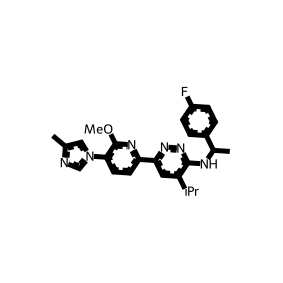 COc1nc(-c2cc(C(C)C)c(NC(C)c3ccc(F)cc3)nn2)ccc1-n1cnc(C)c1